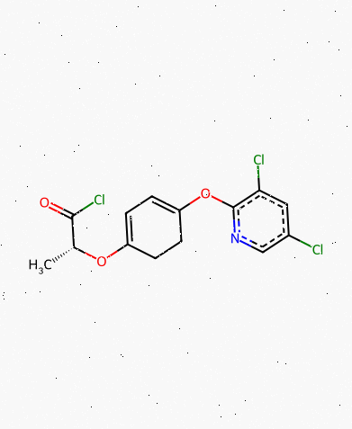 C[C@@H](OC1=CC=C(Oc2ncc(Cl)cc2Cl)CC1)C(=O)Cl